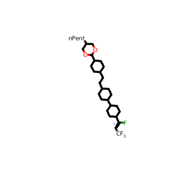 CCCCCC1COC(C2CCC(CCC3CCC(C4CCC(/C(F)=C/C(F)(F)F)CC4)CC3)CC2)OC1